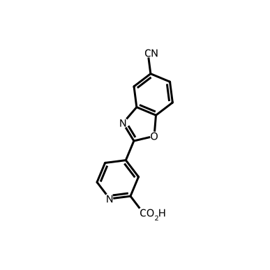 N#Cc1ccc2oc(-c3ccnc(C(=O)O)c3)nc2c1